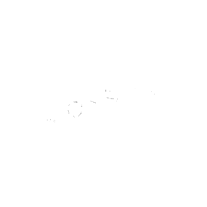 CCCCC(/C=C/c1ccc(OC)cc1)=N\OC[C@H](O)CN(C)C